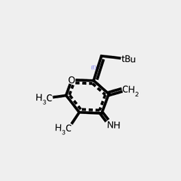 C=c1c(=N)c(C)c(C)o/c1=C/C(C)(C)C